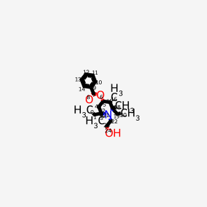 CCC1(C)CC(OC(=O)c2ccccc2)C(C)C(C)(CC)N1CCO